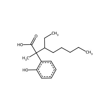 CCCCCC(CC)C(C)(C(=O)O)c1ccccc1O